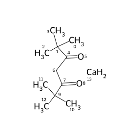 CC(C)(C)C(=O)CC(=O)C(C)(C)C.[CaH2]